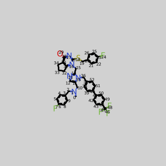 CN(Cc1ccc(F)cc1)Cc1cnc(Cn2c(SCc3ccc(F)cc3)nc(=O)c3c2CCC3)n1Cc1ccc(-c2ccc(C(F)(F)F)cc2)cc1